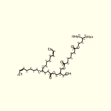 CC/C=C\CCCCOC(CCC(=O)OCC(CO)COC(=O)CCCCCC(=O)OCCC(CCCCCC)CCCCCC)OCCCC/C=C\CC